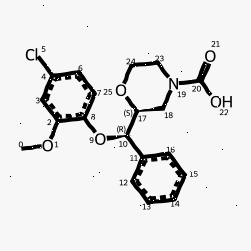 COc1cc(Cl)ccc1O[C@H](c1ccccc1)[C@@H]1CN(C(=O)O)CCO1